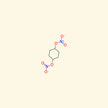 O=[N+]([O-])OC1CCC(O[N+](=O)[O-])CC1